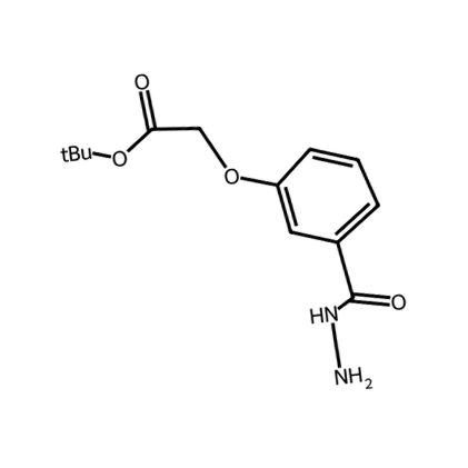 CC(C)(C)OC(=O)COc1cccc(C(=O)NN)c1